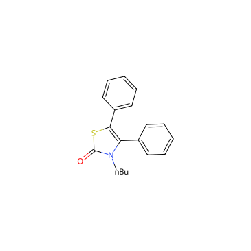 CCCCn1c(-c2ccccc2)c(-c2ccccc2)sc1=O